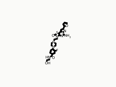 Nc1nc2c(sc(=O)n2CCN2CCN(c3ccc(C(=O)NCCO)cc3F)CC2)c2cc(-c3ccco3)nn12